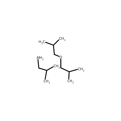 CC(C)COCC(C)C.CC(C)[CH2][AlH2]